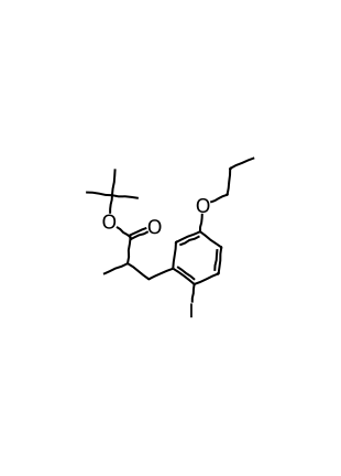 CCCOc1ccc(I)c(CC(C)C(=O)OC(C)(C)C)c1